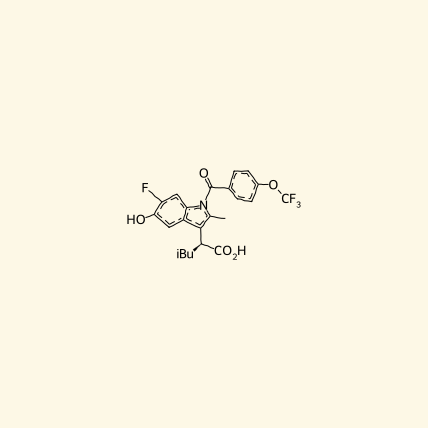 CCC(C)[C@H](C(=O)O)c1c(C)n(C(=O)c2ccc(OC(F)(F)F)cc2)c2cc(F)c(O)cc12